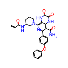 C=CC(=O)N[C@H]1CCCN(c2nc(-c3ccc(Oc4ccccc4)cc3)c(C(N)=O)c3[nH]c(=O)c(=O)[nH]c23)C1